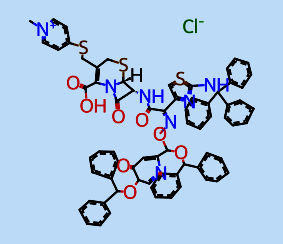 C[n+]1ccc(SCC2=C(C(=O)O)N3C(=O)[C@@H](NC(=O)/C(=N\OC(OC(c4ccccc4)c4ccccc4)C4=CC(=O)C(OC(c5ccccc5)c5ccccc5)C=N4)c4csc(NC(c5ccccc5)(c5ccccc5)c5ccccc5)n4)[C@H]3SC2)cc1.[Cl-]